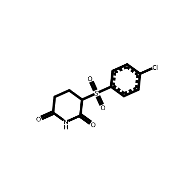 O=C1CCC(S(=O)(=O)c2ccc(Cl)cc2)C(=O)N1